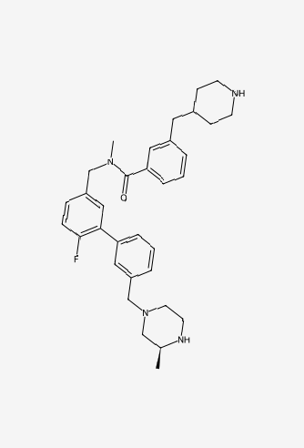 C[C@H]1CN(Cc2cccc(-c3cc(CN(C)C(=O)c4cccc(CC5CCNCC5)c4)ccc3F)c2)CCN1